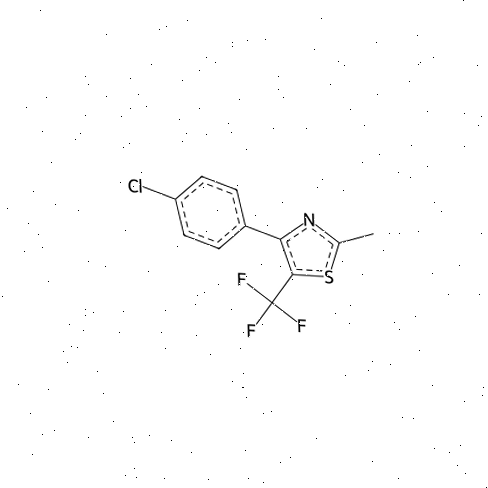 Cc1nc(-c2ccc(Cl)cc2)c(C(F)(F)F)s1